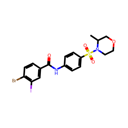 CC1COCCN1S(=O)(=O)c1ccc(NC(=O)c2ccc(Br)c(I)c2)cc1